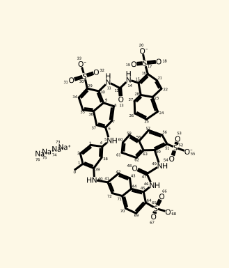 Cc1ccc(Nc2ccc3c(NC(=O)Nc4c(S(=O)(=O)[O-])ccc5ccccc45)c(S(=O)(=O)[O-])ccc3c2)cc1Nc1ccc2c(NC(=O)Nc3c(S(=O)(=O)[O-])ccc4ccccc34)c(S(=O)(=O)[O-])ccc2c1.[Na+].[Na+].[Na+].[Na+]